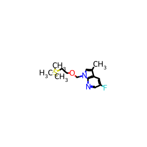 Cc1cn(COCCS(C)(C)C)c2ncc(F)cc12